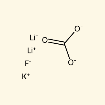 O=C([O-])[O-].[F-].[K+].[Li+].[Li+]